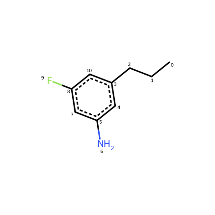 CCCc1cc(N)cc(F)c1